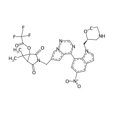 CC1(C)C2C(=O)N(Cc3cc4c(-c5cc([N+](=O)[O-])cc6ccn(C[C@@H]7CNCCO7)c56)ncnn4c3)C(=O)C21OC(=O)C(F)(F)F